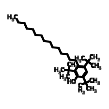 CCCCCCCCCCCCCCCc1c(C(C)(C)C)cc(C(C)(C)C)c(O)c1C(C)(C)C